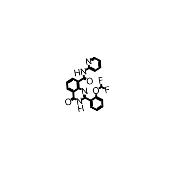 O=C(Nc1ccccn1)c1cccc2c(=O)[nH]c(-c3ccccc3OC(F)F)nc12